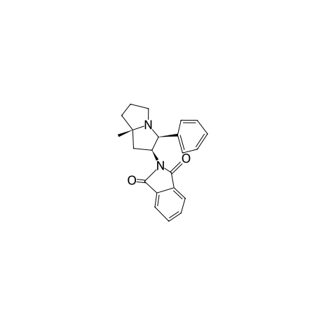 C[C@@]12CCCN1[C@@H](c1ccccc1)[C@@H](N1C(=O)c3ccccc3C1=O)C2